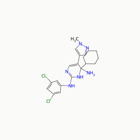 Cn1cc(C2=CN=C(Nc3cc(Cl)cc(Cl)c3)NC2(N)C2CCCCC2)cn1